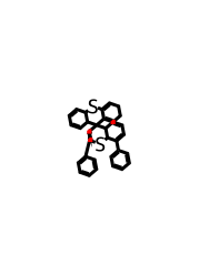 C1=CC2SC3=CCCC=C3C3(C2C=C1)C1C=CC=C(c2ccccc2)C1SC1C(c2ccccc2)=CC=CC13